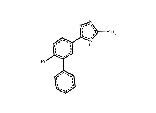 Cc1nnc(-c2ccc(C(C)C)c(-c3ccccc3)c2)[nH]1